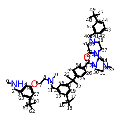 CNCc1cc(OCCN(C)Cc2cc(C(C)(C)C)cc(C(C)(C)c3ccc(CN4CCN(C)CC4N4CCN(Cc5cccc(C(C)(C)C)c5)CC4=O)cc3)c2)cc(C(C)(C)C)c1